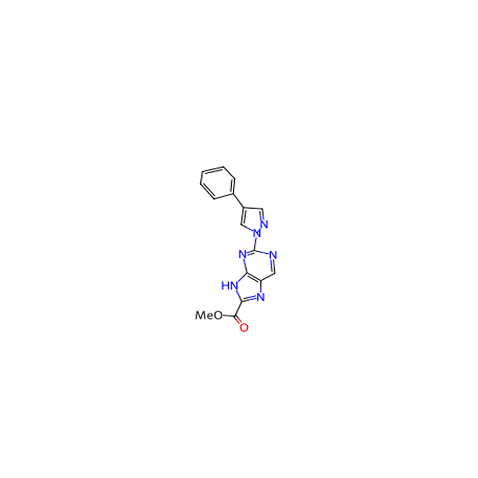 COC(=O)c1nc2cnc(-n3cc(-c4ccccc4)cn3)nc2[nH]1